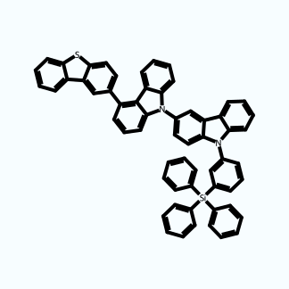 c1ccc([Si](c2ccccc2)(c2ccccc2)c2cccc(-n3c4ccccc4c4cc(-n5c6ccccc6c6c(-c7ccc8sc9ccccc9c8c7)cccc65)ccc43)c2)cc1